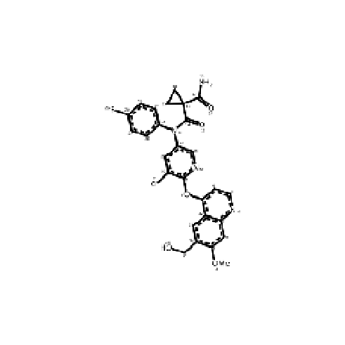 COc1cc2nccc(Oc3ncc(N(C(=O)C4(C(N)=O)CC4)c4ccc(F)cc4)cc3Cl)c2cc1CO